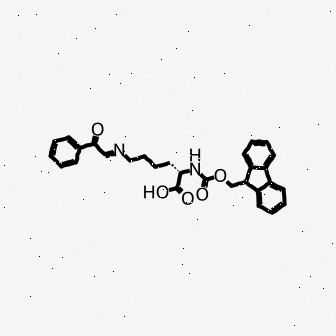 O=C(N[C@@H](CCCCN=CC(=O)c1ccccc1)C(=O)O)OCC1c2ccccc2-c2ccccc21